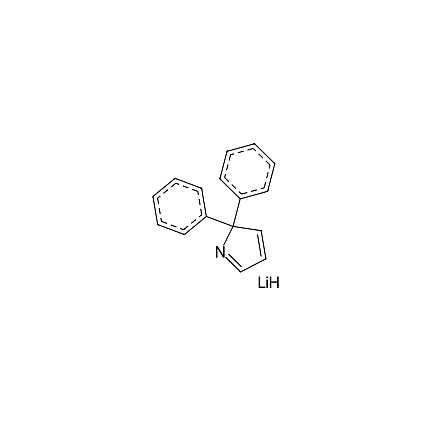 C1=CC(c2ccccc2)(c2ccccc2)N=C1.[LiH]